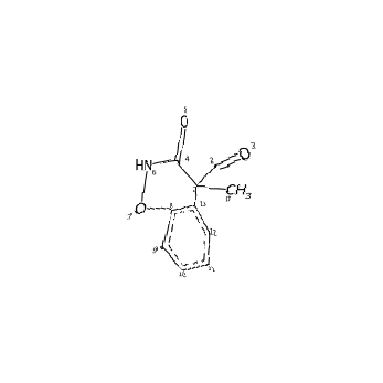 CC1(C=O)C(=O)NOc2ccccc21